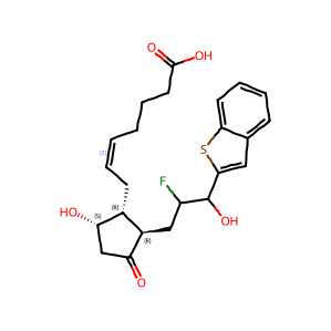 O=C(O)CCC/C=C\C[C@H]1[C@@H](O)CC(=O)[C@@H]1CC(F)C(O)c1cc2ccccc2s1